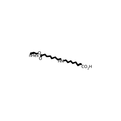 CCCCCC/C=C\COC(=O)CCCCCCCNCCCCC/C=C/C(=O)O